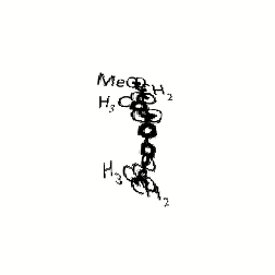 C=C(C)C(=O)OCCOc1ccc(-c2ccc(C(=O)Oc3ccc(OC(=O)C(=C)CC(=O)OC)c(C)c3)cc2)cc1